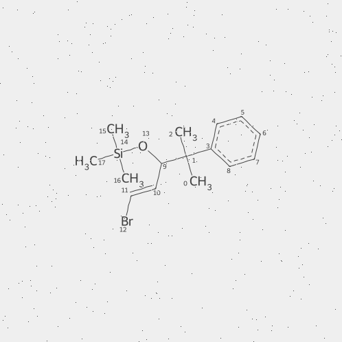 CC(C)(c1ccccc1)C(C=CBr)O[Si](C)(C)C